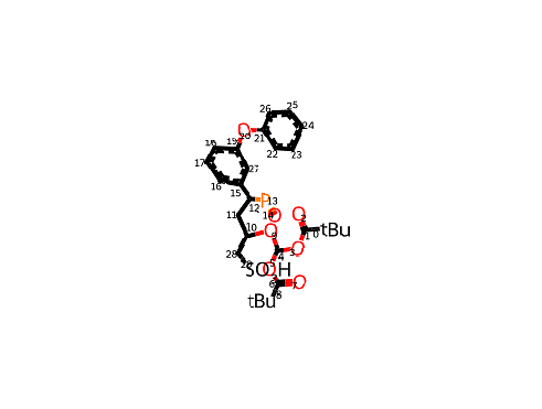 CC(C)(C)C(=O)OC(OC(=O)C(C)(C)C)OC(CC(P=O)c1cccc(Oc2ccccc2)c1)CS(=O)(=O)O